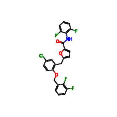 O=C(Nc1c(F)cccc1F)c1ccc(Cc2cc(Cl)ccc2OCc2cccc(F)c2F)o1